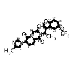 Cc1cn(-c2ccc3c(=O)n(C(C)c4coc5ccc(OC(F)(F)F)cc45)c(C)cn3c2=O)cn1